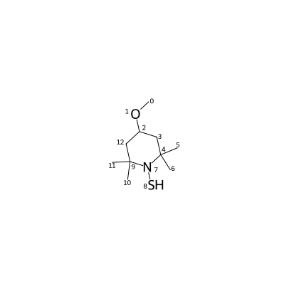 COC1CC(C)(C)N(S)C(C)(C)C1